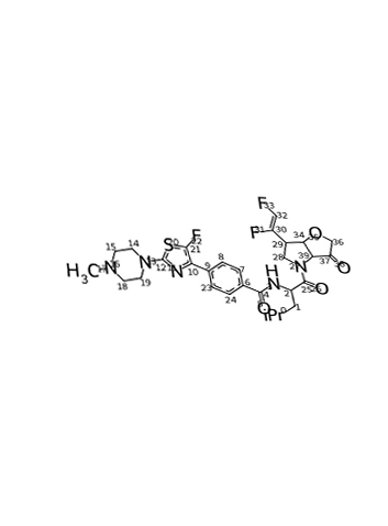 CC(C)CC(NC(=O)c1ccc(-c2nc(N3CCN(C)CC3)sc2F)cc1)C(=O)N1CC(C(F)=CF)C2OCC(=O)C21